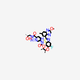 COc1cnc2c(-c3nc4cc(F)c(O[C@@H](C)[C@@H](C)OC(=O)Nc5ccc(C(=O)NC[C@@H](C)O)nc5)cc4s3)cc(C)cc2n1